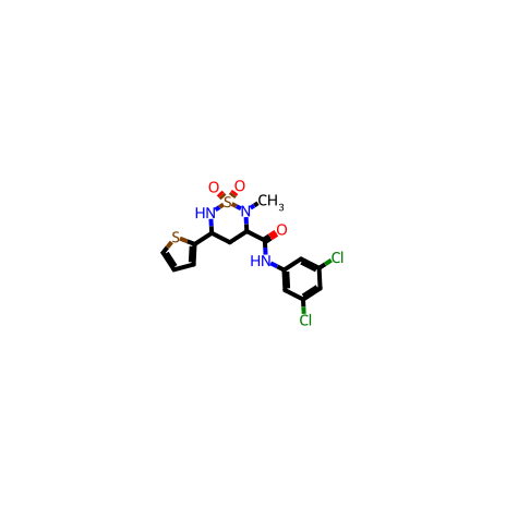 CN1C(C(=O)Nc2cc(Cl)cc(Cl)c2)CC(c2cccs2)NS1(=O)=O